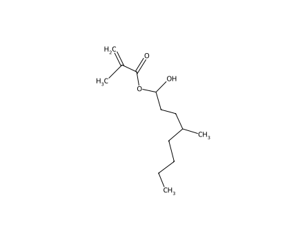 C=C(C)C(=O)OC(O)CCC(C)CCCC